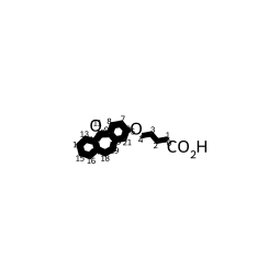 O=C(O)CCCCOc1ccc2c(=O)c3ccccc3ccc2c1